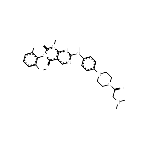 C/N=c1/c2cnc(Nc3ccc(N4CCN(C(=O)CN(C)C)CC4)cc3)nc2n(C)c(=O)n1-c1c(C)cccc1Cl